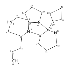 C=CCC1CNCCN1C1CCC[N]C1(N1CCCC1)N1CCC1